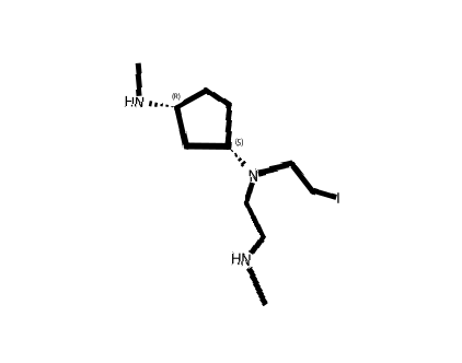 CNCCN(CCI)[C@H]1CC[C@@H](NC)C1